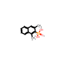 Cc1cc2ccccc2c(C)c1P(=O)(O)O